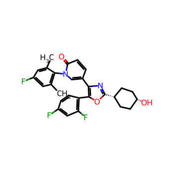 Cc1cc(F)cc(C)c1-n1cc(-c2nc([C@H]3CC[C@@H](O)CC3)oc2-c2ccc(F)cc2F)ccc1=O